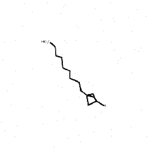 O=C(O)CCCCCCCCC12CC(F)(C1)C2